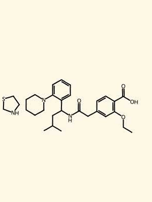 C1CSCN1.CCOc1cc(CC(=O)NC(CC(C)C)c2ccccc2N2CCCCC2)ccc1C(=O)O